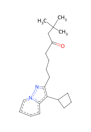 CC(C)(C)CC(=O)CCCCc1nn2ccccc2c1C1CCC1